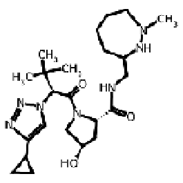 CN1CCCCC(CNC(=O)[C@@H]2C[C@@H](O)CN2C(=O)[C@@H](n2cc(C3CC3)nn2)C(C)(C)C)N1